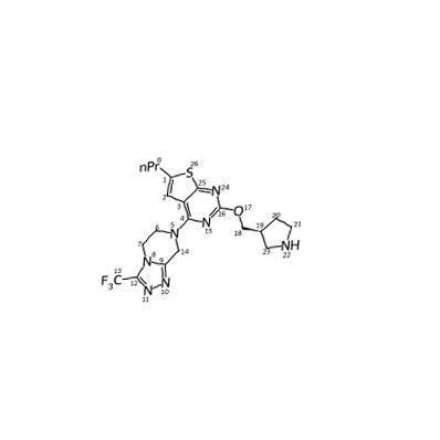 CCCc1cc2c(N3CCn4c(nnc4C(F)(F)F)C3)nc(OC[C@H]3CCNC3)nc2s1